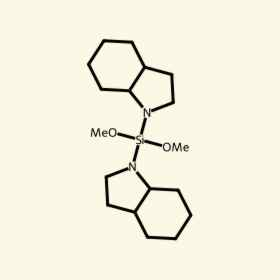 CO[Si](OC)(N1CCC2CCCCC21)N1CCC2CCCCC21